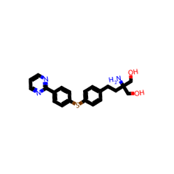 NC(CO)(CO)CCc1ccc(Sc2ccc(-c3ncccn3)cc2)cc1